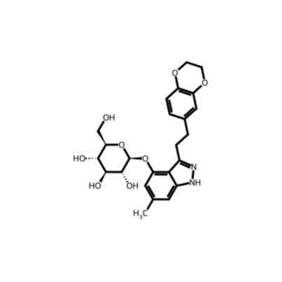 Cc1cc(O[C@@H]2O[C@H](CO)[C@@H](O)[C@H](O)[C@H]2O)c2c(CCc3ccc4c(c3)OCCO4)n[nH]c2c1